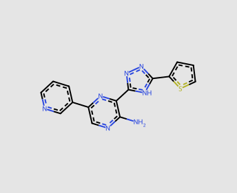 Nc1ncc(-c2cccnc2)nc1-c1nnc(-c2cccs2)[nH]1